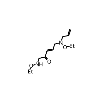 C=CCN(CC=CC(=O)CNOCC)OCC